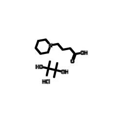 CC(C)(O)C(C)(C)O.Cl.O=C(O)CCCN1CCCCC1